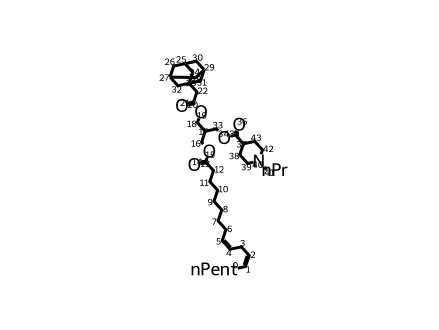 CCCCC/C=C\C/C=C\CCCCCCCC(=O)OCC(COC(=O)CC12CC3CC(CC(C3)C1)C2)COC(=O)C1CCN(CCC)CC1